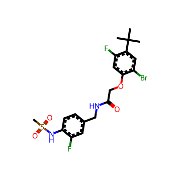 CC(C)(C)c1cc(Br)c(OCC(=O)NCc2ccc(NS(C)(=O)=O)c(F)c2)cc1F